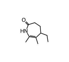 CCC1CCC(=O)NC(C)=C1C